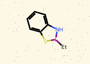 CCI1Nc2ccccc2S1